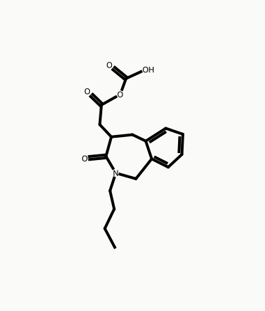 CCCCN1Cc2ccccc2CC(CC(=O)OC(=O)O)C1=O